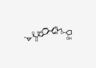 C[C@@H]1C[C@H]1C(=O)Nc1cc2cc(-c3cnc(CO[C@H]4CCC[C@@H]4O)nc3)ccn2n1